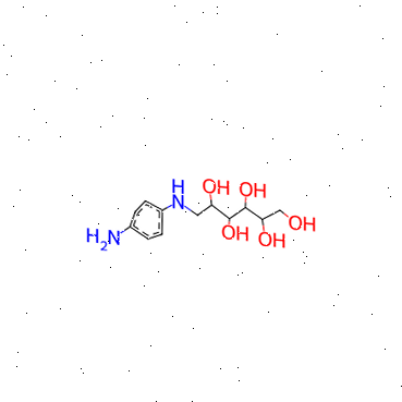 Nc1ccc(NCC(O)C(O)C(O)C(O)CO)cc1